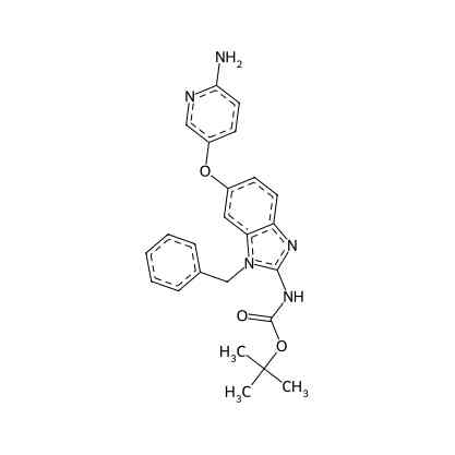 CC(C)(C)OC(=O)Nc1nc2ccc(Oc3ccc(N)nc3)cc2n1Cc1ccccc1